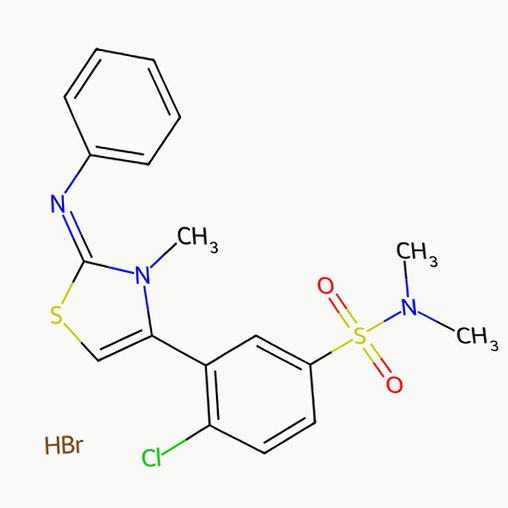 Br.CN(C)S(=O)(=O)c1ccc(Cl)c(-c2cs/c(=N/c3ccccc3)n2C)c1